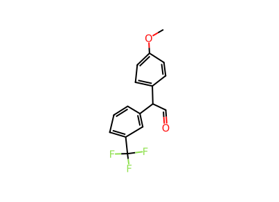 COc1ccc(C(C=O)c2cccc(C(F)(F)F)c2)cc1